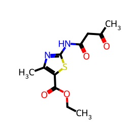 CCOC(=O)c1sc(NC(=O)CC(C)=O)nc1C